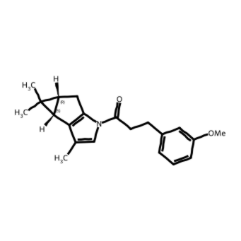 COc1cccc(CCC(=O)n2cc(C)c3c2C[C@@H]2[C@H]3C2(C)C)c1